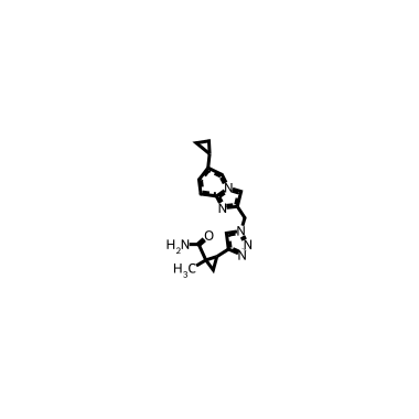 CC1(C(N)=O)CC1c1cn(Cc2cn3cc(C4CC4)ccc3n2)nn1